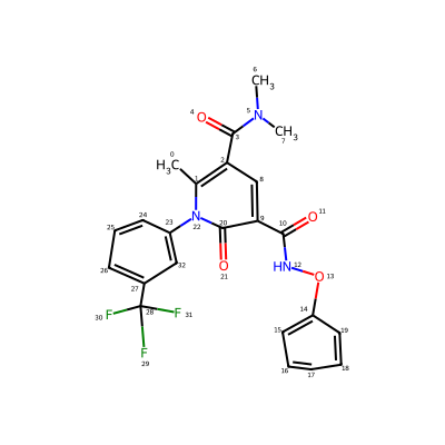 Cc1c(C(=O)N(C)C)cc(C(=O)NOc2ccccc2)c(=O)n1-c1cccc(C(F)(F)F)c1